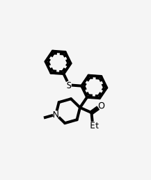 CCC(=O)C1(c2ccccc2Sc2ccccc2)CCN(C)CC1